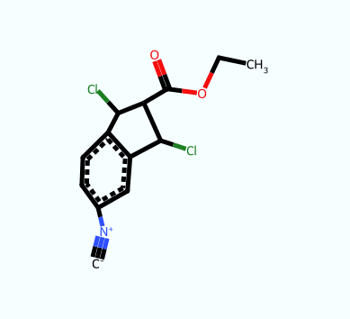 [C-]#[N+]c1ccc2c(c1)C(Cl)C(C(=O)OCC)C2Cl